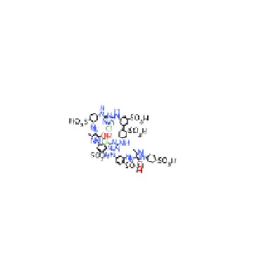 Cc1nn(-c2ccc(S(=O)(=O)O)cc2)c(O)c1/N=N/c1cc(Nc2nc(Cl)nc(Nc3cc(-c4ccc(Nc5nc(Cl)nc(Nc6ccc(S(=O)(=O)O)c(/N=N/c7c(C)nn(-c8ccc(S(=O)(=O)O)cc8)c7O)c6)n5)cc4S(=O)(=O)O)cc(S(=O)(=O)O)c3)n2)ccc1S(=O)(=O)O